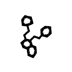 c1ccc(CCc2ccc3ccccc3c2CCc2ccccc2)cc1